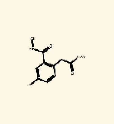 COC(=O)Cc1c[c]c(Cl)cc1C(=O)NS